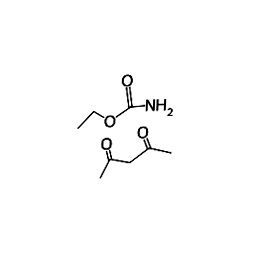 CC(=O)CC(C)=O.CCOC(N)=O